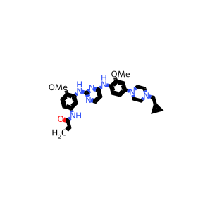 C=CC(=O)Nc1ccc(OC)c(Nc2nccc(Nc3ccc(N4CCN(CC5CC5)CC4)cc3OC)n2)c1